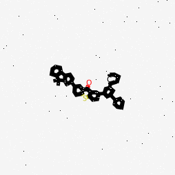 CC1(C)c2ccccc2-c2ccc(-c3ccc4sc5ccc(-c6cc(-c7ccccc7)cc(-c7ccccc7)c6)cc5c(=O)c4c3)cc21